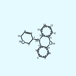 C1=C[C@@H](N2c3ccccc3Oc3ccccc32)COC1